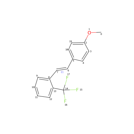 COc1ccc(/C=C/c2ccccc2C(F)(F)F)cc1